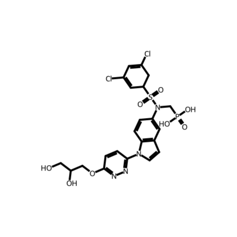 O=P(O)(O)CN(c1ccc2c(ccn2-c2ccc(OCC(O)CO)nn2)c1)S(=O)(=O)C1C=C(Cl)C=C(Cl)C1